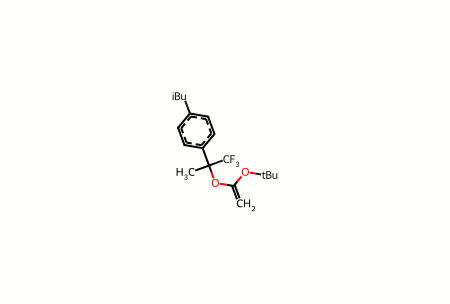 C=C(OC(C)(C)C)OC(C)(c1ccc(C(C)CC)cc1)C(F)(F)F